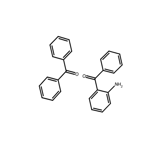 Nc1ccccc1C(=O)c1ccccc1.O=C(c1ccccc1)c1ccccc1